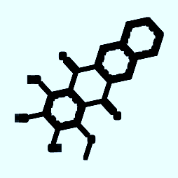 COc1c(O)c(O)c(O)c2c1C(=O)c1cc3ccccc3cc1C2=O